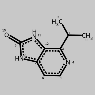 CC(C)c1nccc2[nH]c(=O)[nH]c12